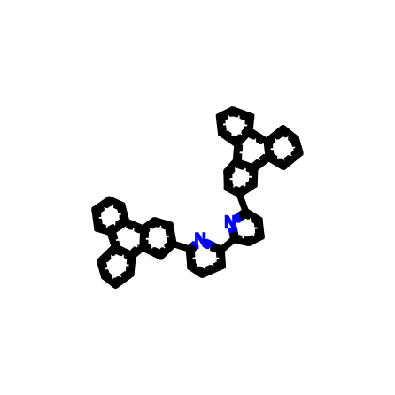 c1cc(-c2ccc3c4ccccc4c4ccccc4c3c2)nc(-c2cccc(-c3ccc4c5ccccc5c5ccccc5c4c3)n2)c1